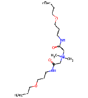 CCCCCCCCCCCCOCCCNC(=O)C[N+](C)(C)CC(=O)NCCCOCCCCCCCCCCCC